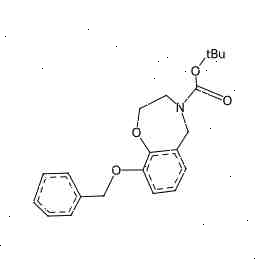 CC(C)(C)OC(=O)N1CCOc2c(cccc2OCc2ccccc2)C1